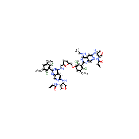 C=CC(=O)N[C@H]1COC[C@H]1Nc1cc2c(NCC3CCC(COc4cc(OC)c(Cl)c(-c5nc(NCC(C)(C)C)c6cc(N[C@@H]7COC[C@@H]7NC(=O)C=C)ncc6n5)c4Cl)O3)nc(-c3c(Cl)c(OC)cc(OC)c3Cl)nc2cn1